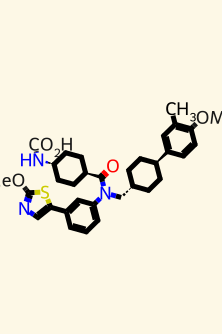 COc1ncc(-c2cccc(N(C[C@H]3CC[C@H](c4ccc(OC)c(C)c4)CC3)C(=O)[C@H]3CC[C@H](NC(=O)O)CC3)c2)s1